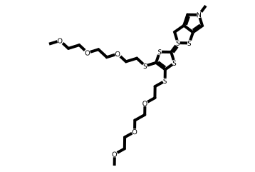 COCCOCCOCCSc1sc(=S2Cc3cn(C)cc3S2)sc1SCCOCCOCCOC